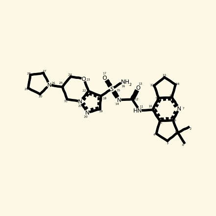 CC1(C)CCc2c1nc1c(c2NC(=O)N=S(N)(=O)c2cnn3c2OCC(N2CCCC2)C3)CCC1